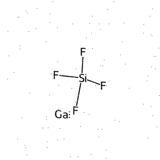 F[Si](F)(F)F.[Ga]